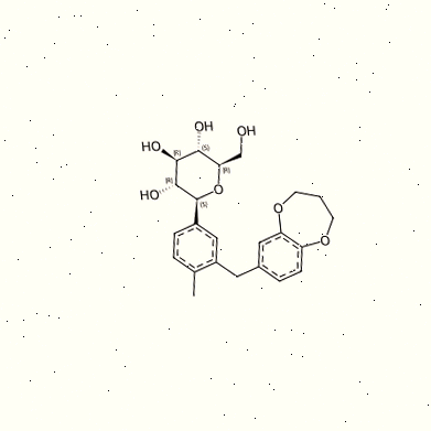 Cc1ccc([C@@H]2O[C@H](CO)[C@@H](O)[C@H](O)[C@H]2O)cc1Cc1ccc2c(c1)OCCCO2